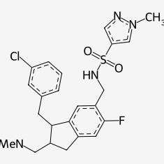 CNCC1Cc2cc(F)c(CNS(=O)(=O)c3cnn(C)c3)cc2C1Cc1cccc(Cl)c1